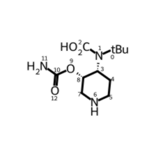 CC(C)(C)N(C(=O)O)[C@@H]1CCNC[C@@H]1OC(N)=O